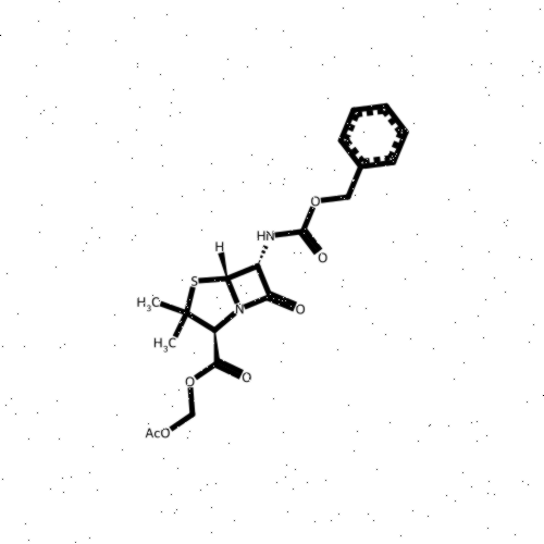 CC(=O)OCOC(=O)[C@@H]1N2C(=O)[C@@H](NC(=O)OCc3ccccc3)[C@H]2SC1(C)C